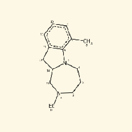 CCN1CCCN2c3c(C)cccc3CC2C1